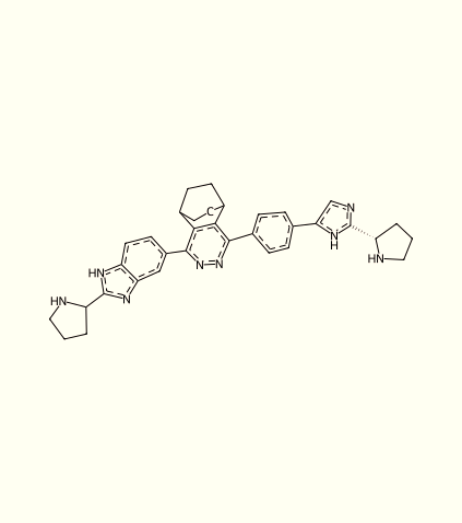 c1cc(-c2nnc(-c3ccc4[nH]c(C5CCCN5)nc4c3)c3c2C2CCC3CC2)ccc1-c1cnc([C@@H]2CCCN2)[nH]1